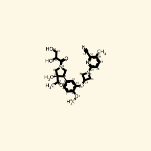 COc1ccc([C@@H]2CN(C(=O)C(O)CO)C[C@@]2(C)C(C)O)cc1OC1CN(c2ccc(C)c(C#N)n2)C1